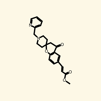 COC(=O)C=Cc1ccc2c(c1)C(=O)CC1(CCN(Cc3ccccn3)CC1)O2